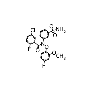 COc1cc(F)ccc1ON(C(=O)c1cc(Cl)ccc1F)c1cccc(S(N)(=O)=O)c1